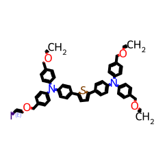 C=COCc1ccc(N(c2ccc(COC=C)cc2)c2ccc(-c3ccc(-c4ccc(N(c5ccc(COC=C)cc5)c5ccc(CO/C=C/I)cc5)cc4)s3)cc2)cc1